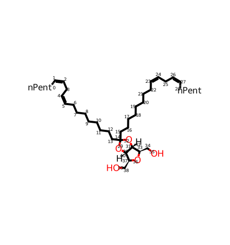 CCCCC/C=C\C/C=C\CCCCCCCCC1(CCCCCCCC/C=C\C/C=C\CCCCC)O[C@H]2[C@H](O1)[C@@H](CO)O[C@H]2CO